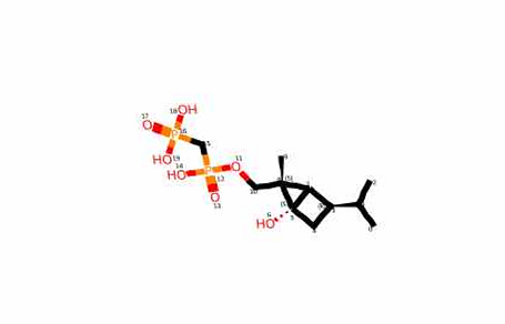 CC(C)[C@H]1C[C@]2(O)C1[C@@]2(C)COP(=O)(O)CP(=O)(O)O